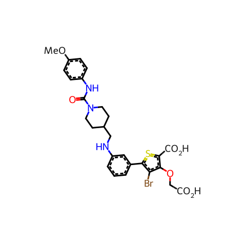 COc1ccc(NC(=O)N2CCC(CNc3cccc(-c4sc(C(=O)O)c(OCC(=O)O)c4Br)c3)CC2)cc1